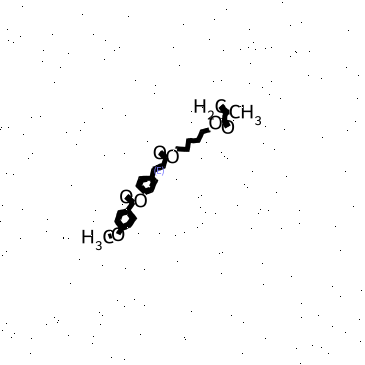 C=C(C)C(=O)OCCCCCCOC(=O)/C=C/c1ccc(OC(=O)c2ccc(OC)cc2)cc1